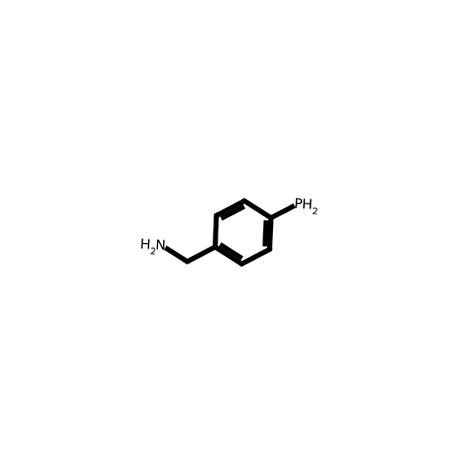 NCc1ccc(P)cc1